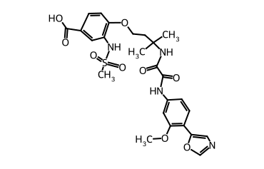 COc1cc(NC(=O)C(=O)NC(C)(C)CCOc2ccc(C(=O)O)cc2NS(C)(=O)=O)ccc1-c1cnco1